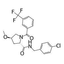 CO[C@@H]1C[C@@H](C(=O)NCc2ccc(Cl)cc2)N(C(=O)c2cccc(C(F)(F)F)c2)C1